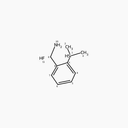 C[SiH](C)c1ccccc1CN.F